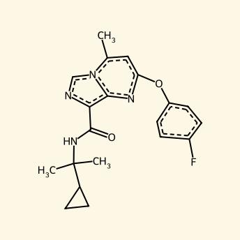 Cc1cc(Oc2ccc(F)cc2)nc2c(C(=O)NC(C)(C)C3CC3)ncn12